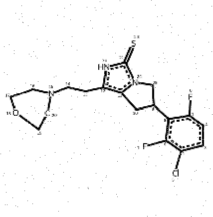 Fc1ccc(Cl)c(F)c1C1Cc2c(CCN3CCOCC3)[nH]c(=S)n2C1